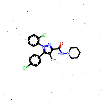 Cc1c(C(=O)NN2CCCCC2)nn(-c2ccccc2Cl)c1-c1ccc(Cl)cc1